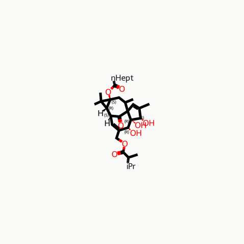 CCCCCCCC(=O)O[C@@]12CC(C)C34C=C(C)[C@H](O)[C@@]3(O)[C@H](O)C(COC(=O)C(C)C(C)C)=C[C@H](C4=O)[C@@H]1C2(C)C